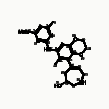 CNc1cc(C)nc(Nc2cc3c(c(C4=CCNC[C@H](O)C4)c2C)OCCO3)n1